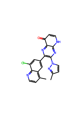 Cc1ccn(-c2nc3[nH]ccc(=O)c3nc2-c2cc(Cl)c3nccc(C)c3c2)n1